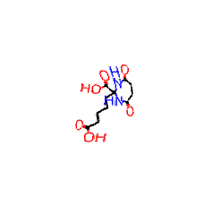 O=C(O)CCCCC1(C(=O)O)NC(=O)CCC(=O)N1